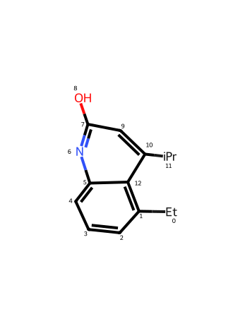 CCc1cccc2nc(O)cc(C(C)C)c12